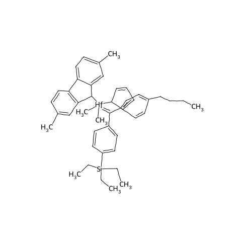 CCCCc1ccc([C](c2ccc([Si](CC)(CC)CC)cc2)=[Hf]([CH3])([CH3])([CH]2C=CC=C2)[CH]2c3cc(C)ccc3-c3ccc(C)cc32)cc1